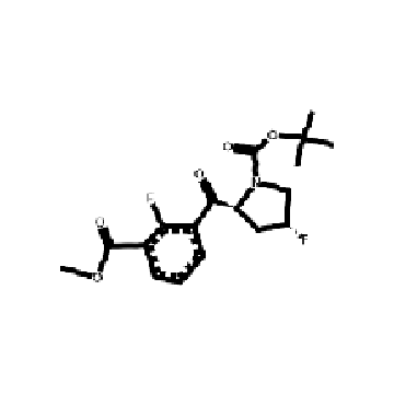 COC(=O)c1cccc(C(=O)[C@@H]2C[C@@H](F)CN2C(=O)OC(C)(C)C)c1F